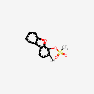 N#Cc1ccc2c(oc3ccccc32)c1OS(=O)(=O)C(F)(F)F